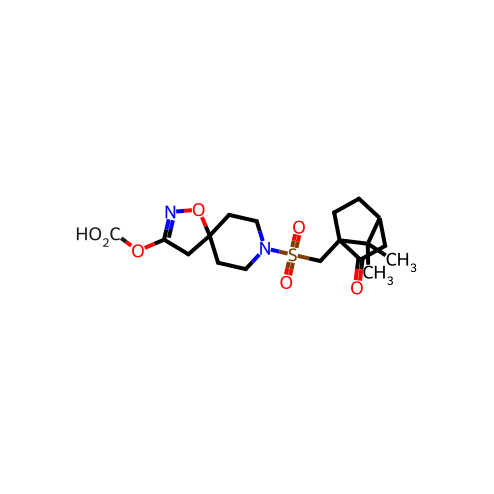 CC1(C)C2CCC1(CS(=O)(=O)N1CCC3(CC1)CC(OC(=O)O)=NO3)C(=O)C2